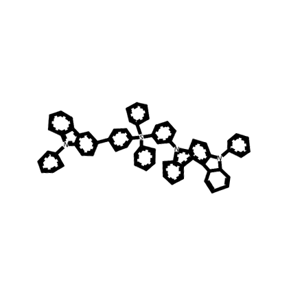 C1=CC2c3c(ccc4c3c3ccccc3n4-c3cccc(S(c4ccccc4)(c4ccccc4)c4ccc(-c5ccc6c(c5)c5ccccc5n6-c5ccccc5)cc4)c3)N(c3ccccc3)C2C=C1